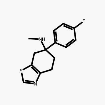 CNC1(c2ccc(F)cc2)CCc2ncsc2C1